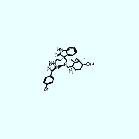 C[C@@]12C[C@@]13C[C@@H]([C@@]1(CCn4cc(-c5ccc(Br)cc5)nn4)C(=O)Nc4ccccc41)N(C#N)C[C@@H]3CC[C@@H]2O